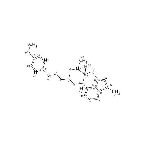 COc1cnc(NCC[C@@H]2C[C@@H]3c4cccc5c4c(cn5C)C[C@H]3N(C)C2)nc1